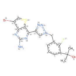 CC(C)(O)c1cccc(Cn2cc(-c3nc(N)nc4c(Br)csc34)nn2)c1F